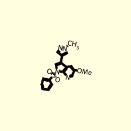 COc1cnc2c(c1)c(-c1cnn(C)c1)cn2S(=O)(=O)c1ccccc1